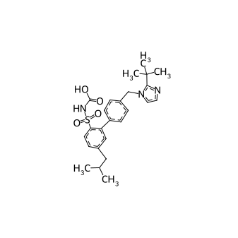 CC(C)Cc1ccc(S(=O)(=O)NC(=O)O)c(-c2ccc(Cn3ccnc3C(C)(C)C)cc2)c1